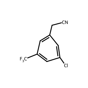 N#CCc1cc(Cl)cc(C(F)(F)F)c1